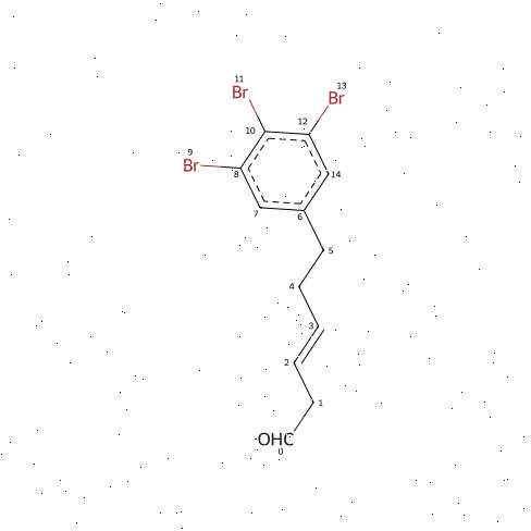 O=[C]CC=CCCc1cc(Br)c(Br)c(Br)c1